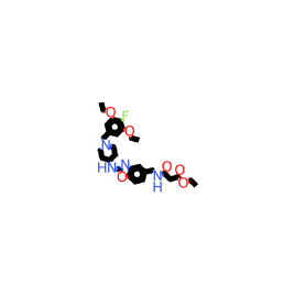 CCOC(=O)CC(=O)NCc1ccc2oc(NC3CCN(Cc4cc(OCC)c(F)c(OCC)c4)CC3)nc2c1